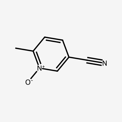 Cc1ccc(C#N)c[n+]1[O-]